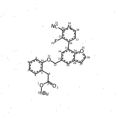 CCCCOC(=O)Cc1ccccc1OCc1cc(-c2ccnc(C#N)c2F)c2occc2c1